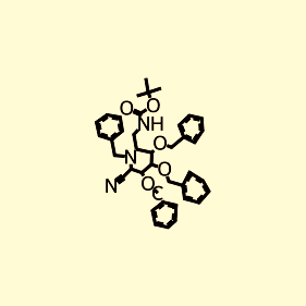 CC(C)(C)OC(=O)NCC1C(OCc2ccccc2)C(OCc2ccccc2)C(OCc2ccccc2)C(C#N)N1Cc1ccccc1